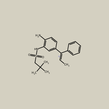 C/C=C(\c1ccccc1)c1ccc(N)c(NS(=O)(=O)CC(C)(C)C)c1